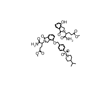 COC(=O)CCC(C(N)=O)N1Cc2c(O)cccc2C1=O.COC(=O)CCC(C(N)=O)N1Cc2c(OCc3ccc(S(=O)(=O)N4CCC(C(C)C)CC4)cc3)cccc2C1=O